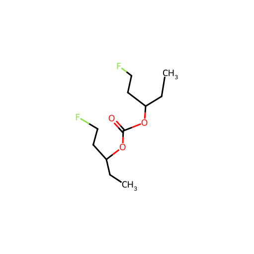 CCC(CCF)OC(=O)OC(CC)CCF